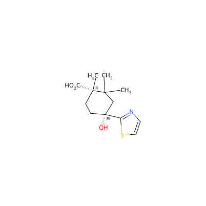 CC1(C)C[C@@](O)(c2nccs2)CC[C@]1(C)C(=O)O